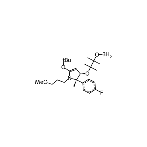 BOC(C)(C)C(C)(C)O[C@@H]1C=C(OC(C)(C)C)N(CCCOC)[C@@]1(C)c1ccc(F)cc1